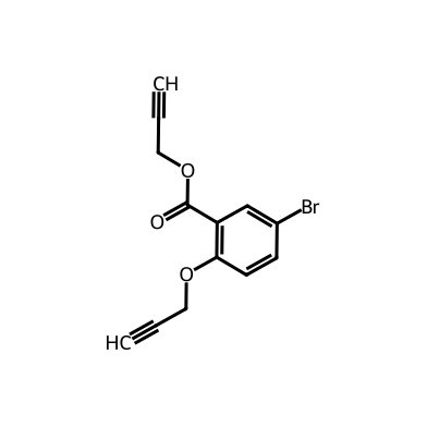 C#CCOC(=O)c1cc(Br)ccc1OCC#C